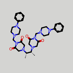 C[C@H]([C@H](C)N1CC(=O)N(CN2CCN(c3ccccc3)CC2)C(=O)C1)N1CC(=O)N(CN2CCN(c3ccccc3)CC2)C(=O)C1